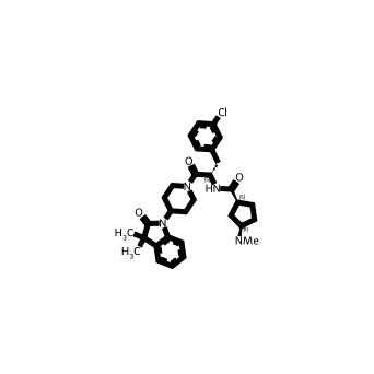 CN[C@@H]1CC[C@H](C(=O)N[C@@H](Cc2cccc(Cl)c2)C(=O)N2CCC(N3C(=O)C(C)(C)c4ccccc43)CC2)C1